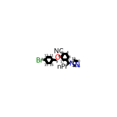 CCCC(c1ccc(C#N)c(OCc2ccc(Br)cc2)c1)n1ccnc1